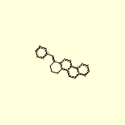 C(=C1CCCc2c1ccc1c2ccc2ccccc21)c1ccccc1